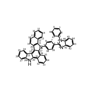 c1ccc(-n2c(-c3ccc(-n4c5c6ccccc6ccc5c5c6c7ccccc7[nH]c6c6ccccc6c54)cc3)nc3ccccc32)cc1